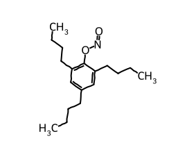 CCCCc1cc(CCCC)c(ON=O)c(CCCC)c1